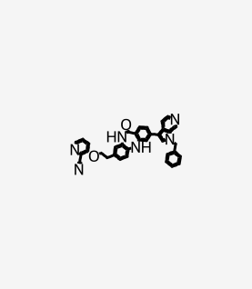 N#Cc1ncccc1OCCc1ccc2c(c1)NC(=O)c1ccc(-c3cn(Cc4ccccc4)c4cnccc34)cc1N2